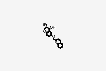 CC(C)[C@@H]1COc2ccc(OCc3ccc4ccccc4n3)cc2[C@H]1O